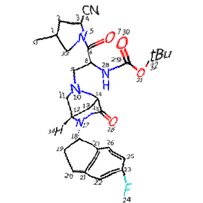 CC1CC(C#N)N(C(=O)C(CN2C[C@@H]3CC2C(=O)N3[C@H]2CCc3cc(F)ccc32)NC(=O)OC(C)(C)C)C1